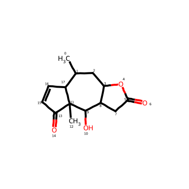 CC1CC2OC(=O)CC2C(O)C2(C)C(=O)C=CC12